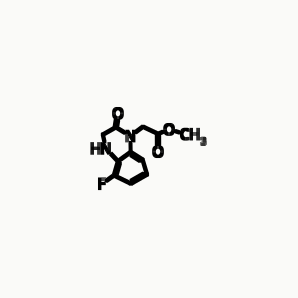 COC(=O)CN1C(=O)CNc2c(F)cccc21